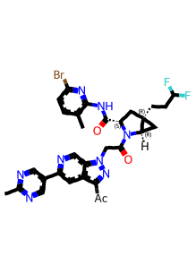 CC(=O)c1nn(CC(=O)N2[C@H](C(=O)Nc3nc(Br)ccc3C)C[C@@]3(CCC(F)F)C[C@@H]23)c2cnc(-c3cnc(C)nc3)cc12